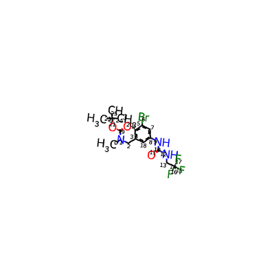 CN(Cc1cc(Br)cc(NC(=O)NCC(F)(F)F)c1)C(=O)OC(C)(C)C